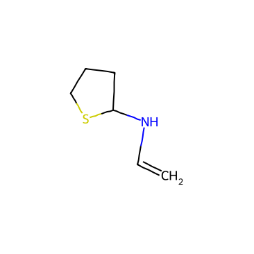 C=CNC1CCCS1